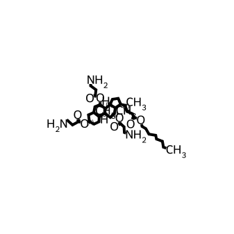 CCCCCCCCOC(=O)CC[C@@H](C)C1CC[C@H]2C3C(OC(=O)CCN)CC4C[C@H](OC(=O)CCN)CCC4(C)[C@H]3C[C@H](OC(=O)CCN)C12C